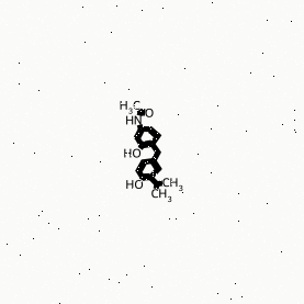 CC(=O)Nc1ccc(Cc2ccc(O)c(C(C)C)c2)c(O)c1